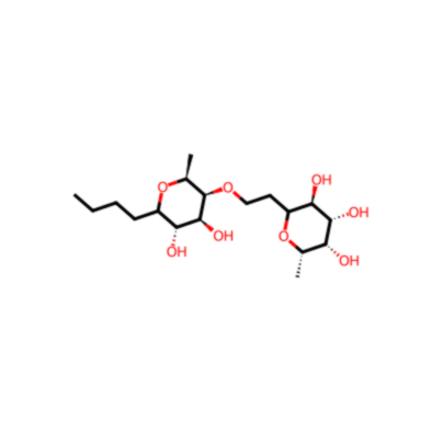 CCCCC1O[C@@H](C)[C@@H](OCCC2O[C@@H](C)[C@@H](O)[C@@H](O)[C@@H]2O)[C@@H](O)[C@@H]1O